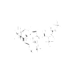 CC1=CC23C(=O)[C@@H](C=C4COC(C)(C)O[C@H]4[C@]2(O)[C@H]1OC(=O)C1N(C(=O)OC(C)(C)C)CCC1(C)C)[C@H]1[C@@H](CC3C)C1(C)C